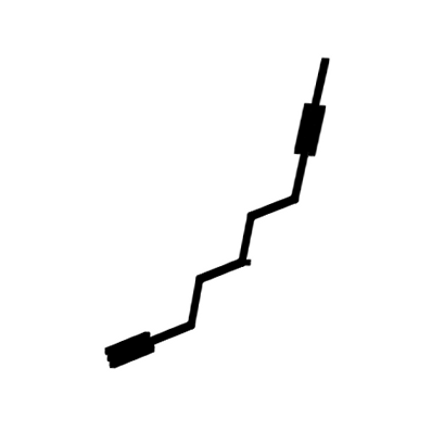 C#CCC[CH]CCC#CC